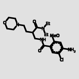 CCN(CC)C(=O)C(CCN1CCOCC1)CNC(=O)c1cc(Cl)c(N)cc1OC